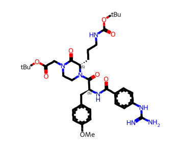 COc1ccc(C[C@H](NC(=O)c2ccc(NC(=N)N)cc2)C(=O)N2CCN(CC(=O)OC(C)(C)C)C(=O)[C@@H]2CCCNC(=O)OC(C)(C)C)cc1